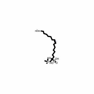 CCCCCCCCCCCCCCCC/C=C\CCCCCCC(O)(C[N+](C)(C)C)P(=O)(O)O